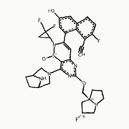 C#Cc1c(F)ccc2cc(O)cc(C3=Cc4nc(OC[C@@]56CCCN5C[C@H](F)C6)nc(N5CC6CCC(C5)N6)c4[S+]([O-])N3C3CC3(F)F)c12